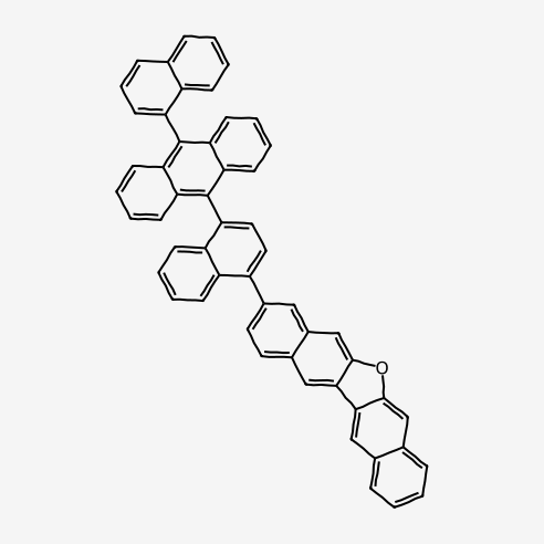 c1ccc2cc3c(cc2c1)oc1cc2cc(-c4ccc(-c5c6ccccc6c(-c6cccc7ccccc67)c6ccccc56)c5ccccc45)ccc2cc13